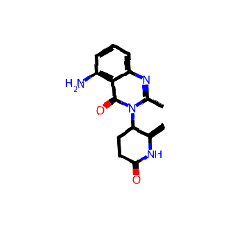 C=C1NC(=O)CCC1n1c(C)nc2cccc(N)c2c1=O